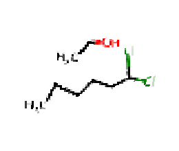 CCCCCC(Cl)Cl.CCO